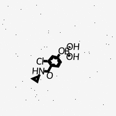 O=C(NC1CC1)c1ccc(OB(O)O)cc1Cl